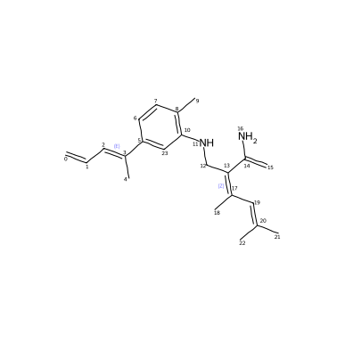 C=C/C=C(\C)c1ccc(C)c(NC/C(C(=C)N)=C(\C)C=C(C)C)c1